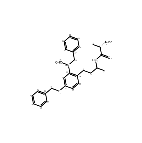 CN[C@@H](C)C(=O)NC(C)CCc1ccc(OCc2ccccc2)cc1N(C=O)Cc1ccccc1